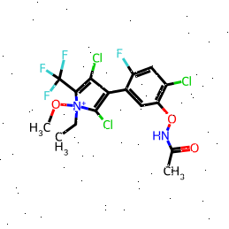 CC[N+]1(OC)C(Cl)=C(c2cc(ONC(C)=O)c(Cl)cc2F)C(Cl)=C1C(F)(F)F